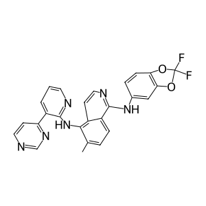 Cc1ccc2c(Nc3ccc4c(c3)OC(F)(F)O4)nccc2c1Nc1ncccc1-c1ccncn1